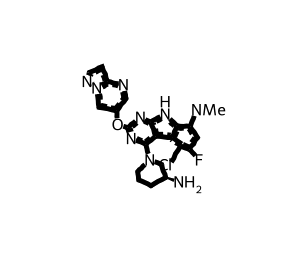 CNc1cc(F)c(Cl)c2c1[nH]c1nc(Oc3cnc4ccnn4c3)nc(N3CCC[C@H](N)C3)c12